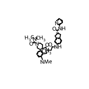 CNCc1ccccc1CN(CC(=O)Nc1ccc2c(c1)C[C@H](C(=O)Nc1ccccn1)C2)C(=O)C1(C)CCN(C(=O)N(C)C)CC1